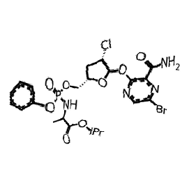 CC(C)OC(=O)C(C)NP(=O)(OC[C@@H]1C[C@H](Cl)C(Oc2ncc(Br)nc2C(N)=O)O1)Oc1ccccc1